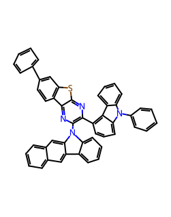 c1ccc(-c2ccc3c(c2)sc2nc(-c4cccc5c4c4ccccc4n5-c4ccccc4)c(-n4c5ccccc5c5cc6ccccc6cc54)nc23)cc1